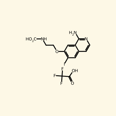 Nc1nccc2cc(I)c(OCCNC(=O)O)cc12.O=C(O)C(F)(F)F